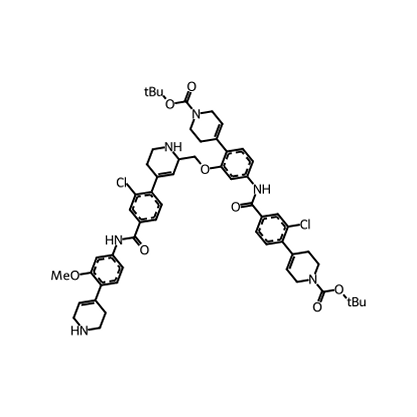 COc1cc(NC(=O)c2ccc(C3=CC(COc4cc(NC(=O)c5ccc(C6=CCN(C(=O)OC(C)(C)C)CC6)c(Cl)c5)ccc4C4=CCN(C(=O)OC(C)(C)C)CC4)NCC3)c(Cl)c2)ccc1C1=CCNCC1